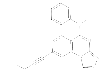 CN(c1ccccc1)c1nc2nncn2c2cc(C#CCO)ccc12